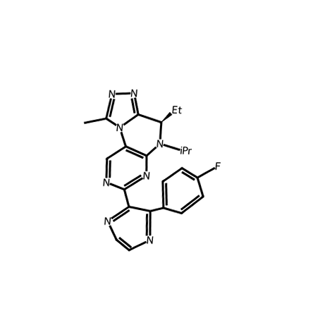 CC[C@@H]1c2nnc(C)n2-c2cnc(-c3nccnc3-c3ccc(F)cc3)nc2N1C(C)C